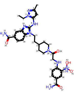 CCn1nc(C)cc1Nc1nc2cc(C(N)=O)ccc2n1CCC1CCN(C(=O)CNc2ccc(C(N)=O)cc2[NH+]([O-])O)CC1